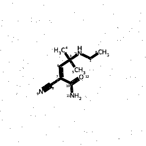 CCNC(C)(C)C=C(C#N)C(N)=O